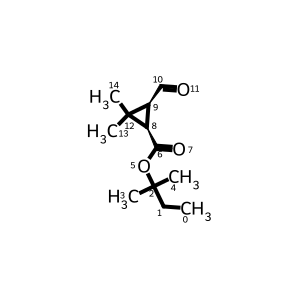 CCC(C)(C)OC(=O)[C@@H]1[C@H](C=O)C1(C)C